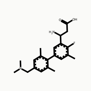 Cc1cc(-c2c(C)cc(CN(C)C)cc2C)cc(C(N)CC(=O)O)c1F